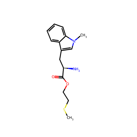 CSCCOC(=O)[C@H](N)Cc1cn(C)c2ccccc12